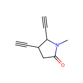 C#CC1CC(=O)N(C)C1C#C